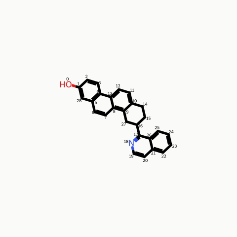 Oc1ccc2c(ccc3c4c(ccc32)CCC(c2nccc3ccccc23)C4)c1